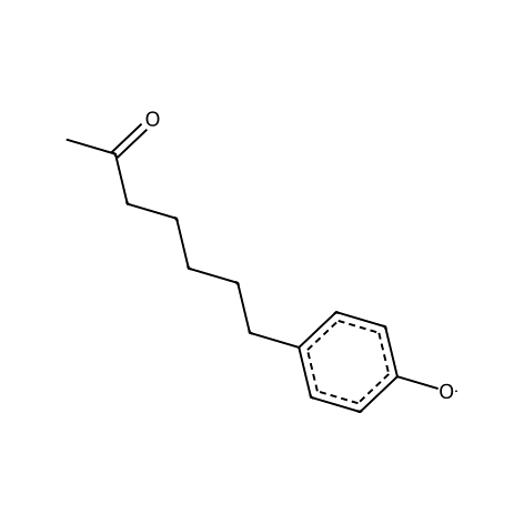 CC(=O)CCCCCc1ccc([O])cc1